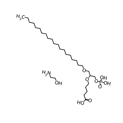 CCCCCCCCCCCCCCCCCCCCOCC(COP(=O)(O)O)OCCCCC(=O)O.NCCO